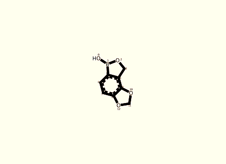 OB1OCc2c1ccc1c2OCO1